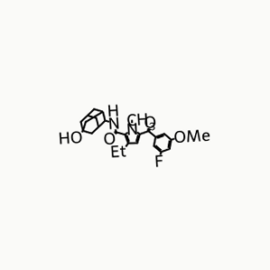 CCc1cc(C(=O)c2cc(F)cc(OC)c2)n(C)c1C(=O)NC1C2CC3CC1CC(O)(C3)C2